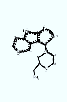 NCC1CN(c2ncnc3[nH]c4ccncc4c23)CCO1